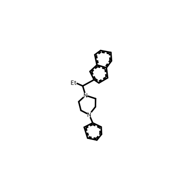 CCC(c1ccc2ccccc2c1)N1CCN(c2ccccc2)CC1